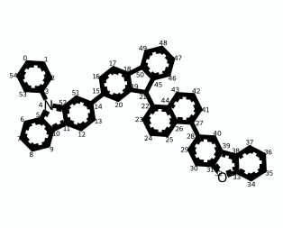 c1ccc(-n2c3ccccc3c3ccc(-c4ccc5c(c4)C(c4cccc6c(-c7ccc8oc9ccccc9c8c7)cccc46)c4ccccc4-5)cc32)cc1